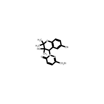 CCOC(=O)c1ccc(=O)n(C2c3cc(C#N)ccc3OC(C)(C)C2(C)O)n1